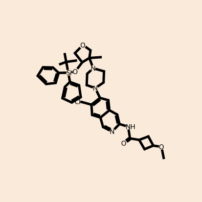 COC1CC(C(=O)Nc2cc3cc(N4CCN(C5(C)COCC5O[Si](c5ccccc5)(c5ccccc5)C(C)(C)C)CC4)c(Cl)cc3cn2)C1